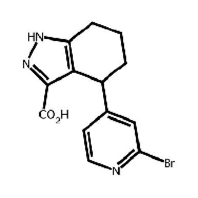 O=C(O)c1n[nH]c2c1C(c1ccnc(Br)c1)CCC2